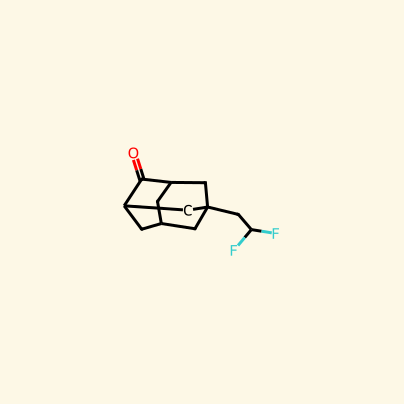 O=C1C2CC3CC1CC(CC(F)F)(C3)C2